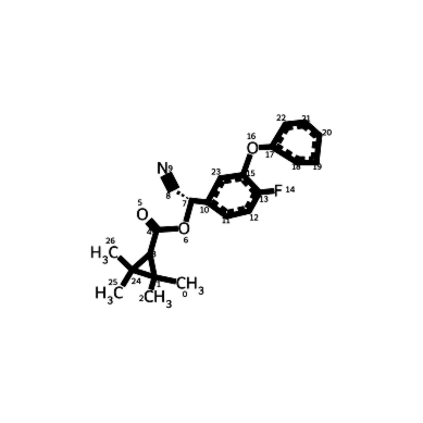 CC1(C)C(C(=O)O[C@H](C#N)c2ccc(F)c(Oc3ccccc3)c2)C1(C)C